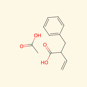 C=CC(Cc1ccccc1)C(=O)O.CC(=O)O